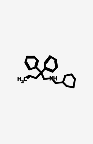 C=CCC(CNCC1CCCCC1)(c1ccccc1)c1ccccc1